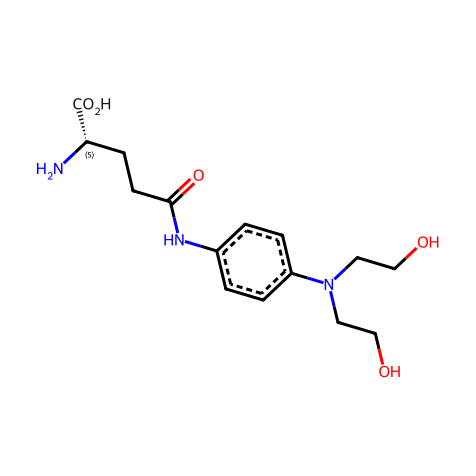 N[C@@H](CCC(=O)Nc1ccc(N(CCO)CCO)cc1)C(=O)O